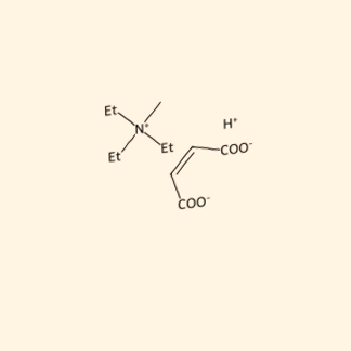 CC[N+](C)(CC)CC.O=C([O-])/C=C\C(=O)[O-].[H+]